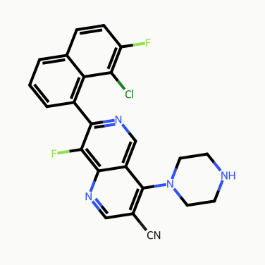 N#Cc1cnc2c(F)c(-c3cccc4ccc(F)c(Cl)c34)ncc2c1N1CCNCC1